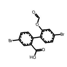 O=COc1cc(Br)ccc1-c1ccc(Br)cc1C(=O)O